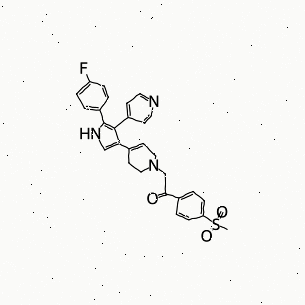 CS(=O)(=O)c1ccc(C(=O)CN2CC=C(c3c[nH]c(-c4ccc(F)cc4)c3-c3ccncc3)CC2)cc1